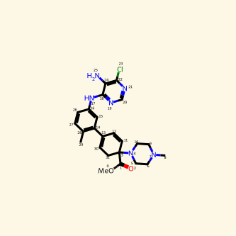 COC(=O)C1(N2CCN(C)CC2)C=CC(c2cc(Nc3ncnc(Cl)c3N)ccc2C)=CC1